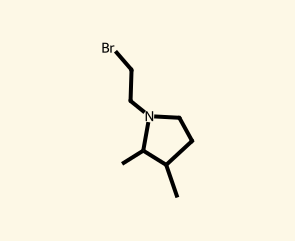 CC1CCN(CCBr)C1C